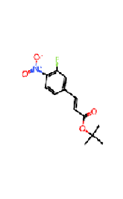 CC(C)(C)OC(=O)C=Cc1ccc([N+](=O)[O-])c(F)c1